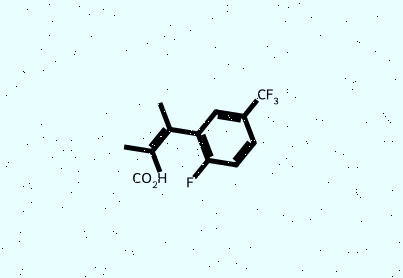 C/C(C(=O)O)=C(\C)c1cc(C(F)(F)F)ccc1F